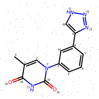 Cc1cn(-c2cccc(-c3c[nH]nn3)c2)c(=O)[nH]c1=O